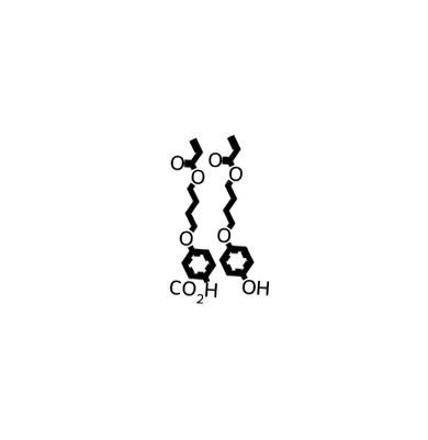 C=CC(=O)OCCCCOc1ccc(C(=O)O)cc1.C=CC(=O)OCCCCOc1ccc(O)cc1